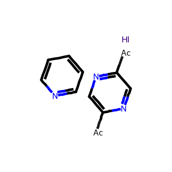 CC(=O)c1cnc(C(C)=O)cn1.I.c1ccncc1